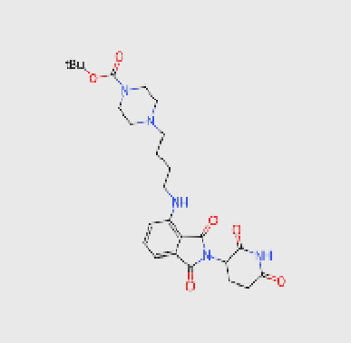 CC(C)(C)OC(=O)N1CCN(CCCCNc2cccc3c2C(=O)N(C2CCC(=O)NC2=O)C3=O)CC1